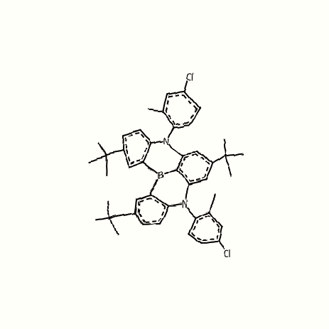 Cc1cc(Cl)ccc1N1c2ccc(C(C)(C)C)cc2B2c3cc(C(C)(C)C)ccc3N(c3ccc(Cl)cc3C)c3cc(C(C)(C)C)cc1c32